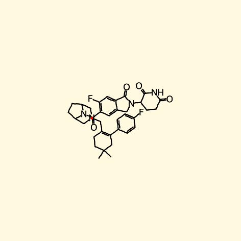 CC1(C)CCC(CN2CC3CCC(C2)N3C(=O)c2cc3c(cc2F)C(=O)N(C2CCC(=O)NC2=O)C3)=C(c2ccc(F)cc2)C1